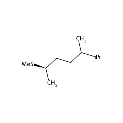 CS[C@H](C)CCC(C)C(C)C